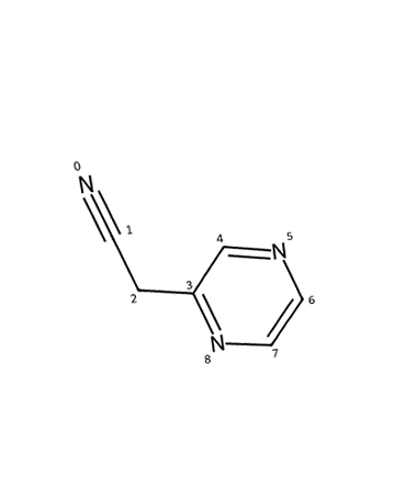 N#CCc1cnccn1